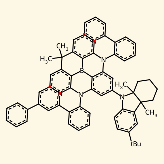 CC(C)(C)c1ccc2c(c1)C1(C)CCCCC1(C)N2c1cc2c3c(c1)N(c1ccccc1-c1cc(-c4ccccc4)ccn1)c1cccc4c1B3c1c(cccc1C4(C)C)N2c1ccccc1-c1ccccn1